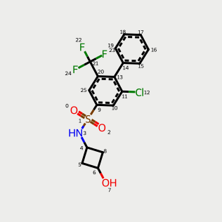 O=S(=O)(NC1CC(O)C1)c1cc(Cl)c(-c2ccccc2)c(C(F)(F)F)c1